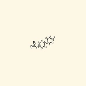 Cc1ccc(C2CCN(CC(F)F)CC2)cc1